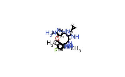 CN/N=C1/C/C(C=N)=C(/NCC2CC2)c2cnc(N)c(c2)O[C@H](C)c2cc(F)ccc2C1=N